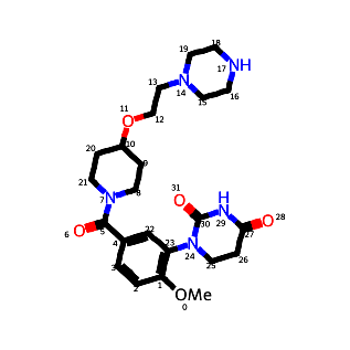 COc1ccc(C(=O)N2CCC(OCCN3CCNCC3)CC2)cc1N1CCC(=O)NC1=O